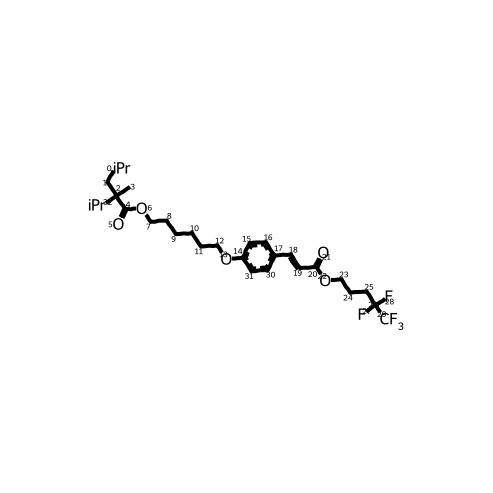 CC(C)CC(C)(C(=O)OCCCCCCOc1ccc(/C=C/C(=O)OCCCC(F)(F)C(F)(F)F)cc1)C(C)C